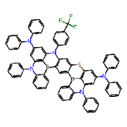 FC(F)(F)c1ccc(N2c3cc4c(cc3B3c5ccccc5N(c5ccccc5)c5cc(N(c6ccccc6)c6ccccc6)cc2c53)B2c3ccccc3N(c3ccccc3)c3cc(N(c5ccccc5)c5ccccc5)cc(c32)S4)cc1